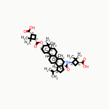 C=C(C)[C@@H]1CC[C@]2(C(=O)N[C@@H]3C[C@H](C(=O)O)C3(C)C)CC[C@]3(C)[C@H](CC[C@@H]4[C@@]5(C)CC[C@H](OC(=O)[C@H]6C[C@@H](C(=O)O)C6(C)C)C(C)(C)[C@@H]5CC[C@]43C)[C@@H]12